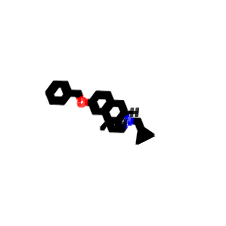 C[C@H]1[C@H]2Cc3ccc(OCc4ccccc4)cc3[C@@]1(C)CCN2CC1CC1